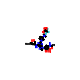 CCC(=O)N[C@H]1C[C@@H](n2cnc3c(N[C@H](CO)CCSC)nc(N4CC[C@@H](N(C)C)C4)nc32)[C@H](O)[C@@H]1O.O=C(O)C(F)(F)F